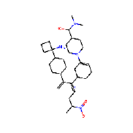 C=C(/C(=C\CC(C)[N+](=O)[O-])C1CCC=C(N2CCC(C(O)N(C)C)CC2)C1)C1CCC(C2(N)CCC2)CC1